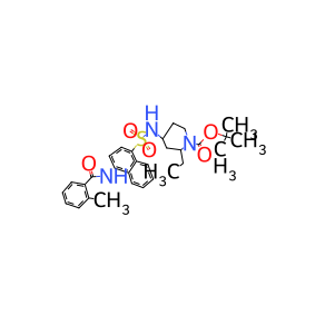 CCC1CC(NS(=O)(=O)c2ccc(NC(=O)c3ccccc3C)c3ccccc23)CCN1C(=O)OC(C)(C)C